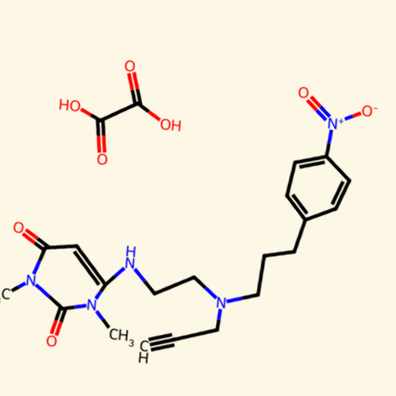 C#CCN(CCCc1ccc([N+](=O)[O-])cc1)CCNc1cc(=O)n(C)c(=O)n1C.O=C(O)C(=O)O